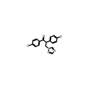 O=C(c1ccc(Cl)cc1)C(Cn1cncn1)c1ccc(Cl)cc1